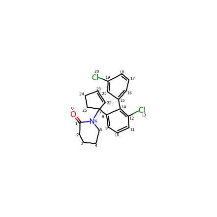 O=C1CCCCN1C1(c2cccc(Cl)c2-c2cccc(Cl)c2)C=CCC1